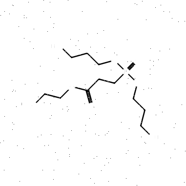 CCCCOP(=O)(CCC(=O)OCCC)OCCCC